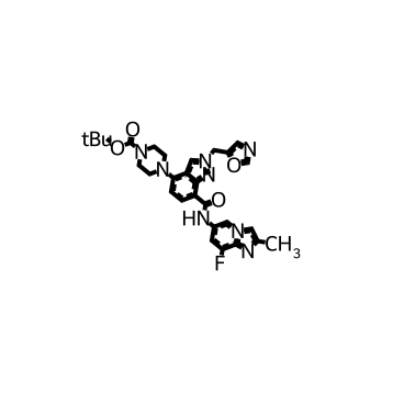 Cc1cn2cc(NC(=O)c3ccc(N4CCN(C(=O)OC(C)(C)C)CC4)c4cn(Cc5cnco5)nc34)cc(F)c2n1